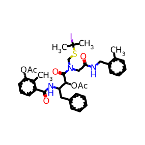 CC(=O)Oc1cccc(C(=O)NC(Cc2ccccc2)C(OC(C)=O)C(=O)N(CSC(C)(C)I)CC(=O)NCc2ccccc2C)c1C